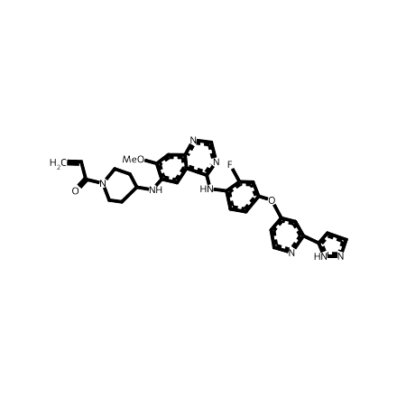 C=CC(=O)N1CCC(Nc2cc3c(Nc4ccc(Oc5ccnc(-c6ccn[nH]6)c5)cc4F)ncnc3cc2OC)CC1